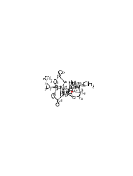 C[C@H]1C[C@@H]1[B-]12OC(=O)C[N+]1([C@H]1CC3CC([C@@H]1C)C3(C)C)CC(=O)O2